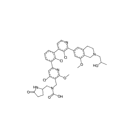 COc1cc(-c2nccc(-c3cccc(-c4cc(Cl)c(CN(CC5CCC(=O)N5)C(=O)O)c(OC)n4)c3Cl)c2Cl)cc2c1CN(CC(C)O)CC2